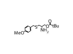 COc1ccc(CSC[C@H](N)COC(=O)C(C)(C)C)cc1